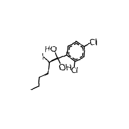 CCCCC(I)C(O)(O)c1ccc(Cl)cc1Cl